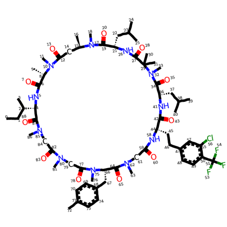 CCC(C)[C@@H]1NC(=O)[C@H](C)N(C)C(=O)C[C@@H](C)N(C)C(=O)[C@H](CC(C)C)NC(=O)C(C)(C)N(C)C(=O)[C@H](CC(C)C)NC(=O)[C@H](CCc2ccc(C(F)(F)F)c(Cl)c2)NC(=O)CN(C)C(=O)[C@H](Cc2ccc(C)cc2)N(C)C(=O)CN(C)C(=O)CN(C)C1=O